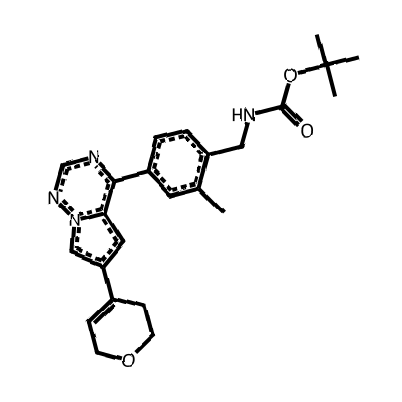 Cc1cc(-c2ncnn3cc(C4=CCOCC4)cc23)ccc1CNC(=O)OC(C)(C)C